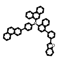 c1cc(-c2cc3ccccc3o2)cc(-c2ccc(N(c3ccc(-c4ccc5c(ccc6ccccc65)c4)cc3)c3cc4ccccc4c4ccccc34)c3ccccc23)c1